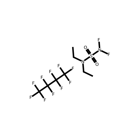 CCN(CC)S(=O)(=O)N(F)F.FC(F)(F)C(F)(F)C(F)(F)C(F)(F)F